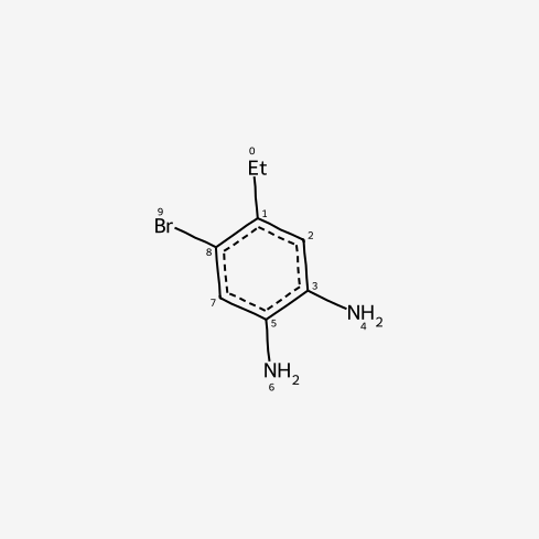 CCc1cc(N)c(N)cc1Br